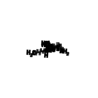 CCCCCCCN/C(N)=N/c1nc(-c2ccc(CN)s2)cs1.Cl.Cl